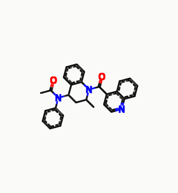 CC(=O)N(c1ccccc1)C1CC(C)N(C(=O)c2ccnc3ccccc23)c2ccccc21